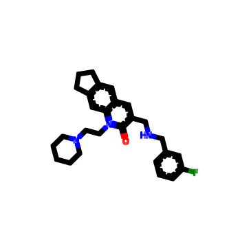 O=c1c(CNCc2cccc(F)c2)cc2cc3c(cc2n1CCN1CCCCC1)CCC3